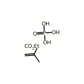 O=P(O)(O)O.[CH2]COC(=O)C(=C)C